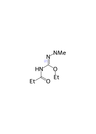 CCO/C(=N\NC)NC(=O)CC